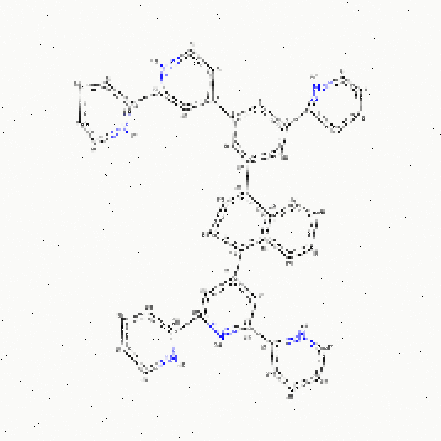 c1ccc(-c2cc(-c3ccnc(-c4ccccn4)c3)cc(-c3ccc(-c4cc(-c5ccccn5)nc(-c5ccccn5)c4)c4ccccc34)c2)nc1